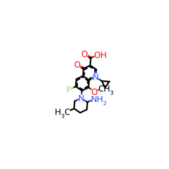 COc1c(N2CC(C)CCC2N)c(F)cc2c(=O)c(C(=O)O)cn(C3CC3)c12